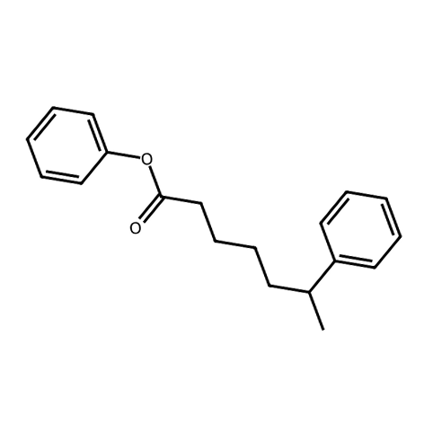 CC(CCCCC(=O)Oc1ccccc1)c1ccccc1